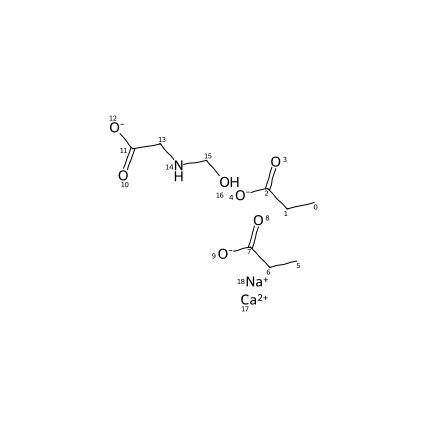 CCC(=O)[O-].CCC(=O)[O-].O=C([O-])CNCO.[Ca+2].[Na+]